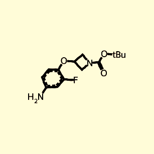 CC(C)(C)OC(=O)N1CC(Oc2ccc(N)cc2F)C1